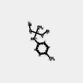 CCOC(C)(Nc1ccc(C)cc1)OCC